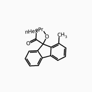 CCCCCCC(=O)C1(OCCC)c2ccccc2-c2cccc(C)c21